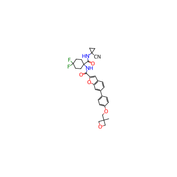 CC1(COc2ccc(-c3ccc4cc(C(=O)NC5(C(=O)NC6(C#N)CC6)CCC(F)(F)CC5)oc4c3)cc2)COC1